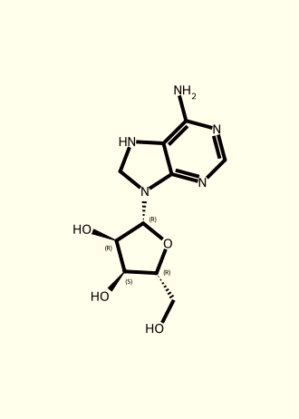 Nc1ncnc2c1NCN2[C@@H]1O[C@H](CO)[C@@H](O)[C@H]1O